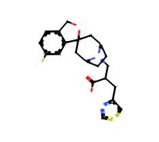 O=C(O)C(Cc1cscn1)CN1C2CCC1CC1(C2)OCc2ccc(F)cc21